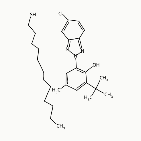 CCCCCCCCCCCCS.Cc1cc(-n2nc3ccc(Cl)cc3n2)c(O)c(C(C)(C)C)c1